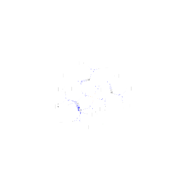 CN=C(N(C)C)N(C)[P+](N(C)C(=NC)N(C)C)(N(C)C(=NC)N(C)C)N(C)C(=NC)N(C)C.[Cl-]